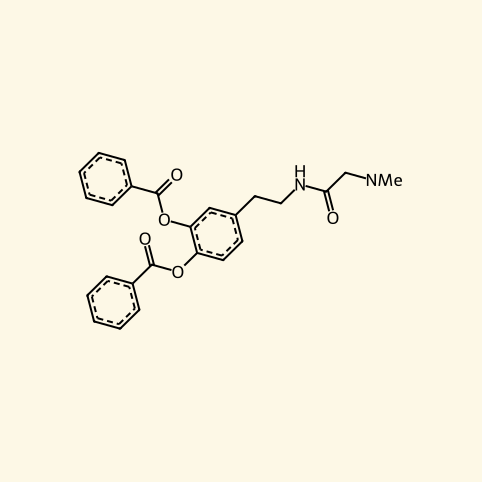 CNCC(=O)NCCc1ccc(OC(=O)c2ccccc2)c(OC(=O)c2ccccc2)c1